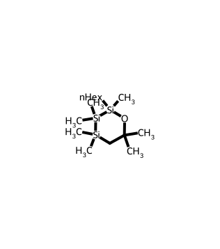 CCCCCC[Si]1(C)OC(C)(C)C[Si](C)(C)[Si]1(C)C